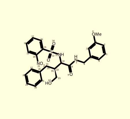 COc1cccc(CNC(=O)C(NS(=O)(=O)c2ccccc2[N+](=O)[O-])[C@@H](CO)Cc2ccccc2)c1